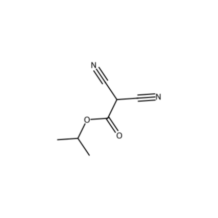 CC(C)OC(=O)C(C#N)C#N